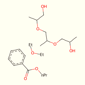 CC(O)COC(C)COC(C)CO.CCCOC(=O)c1ccccc1.CCOCC